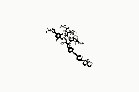 COC(=O)NC(C(=O)N[C@@H](Cc1ccc(C#Cc2ccc(N3CCN4CCOC[C@@H]4C3)nc2)cc1)[C@@H](O)CN(Cc1c(F)cc(-c2ccn(C(F)F)n2)cc1F)NC(=O)[C@@H](NC(=O)OC)C(C)(C)C(F)(F)F)C(C)(C)C(F)(F)F